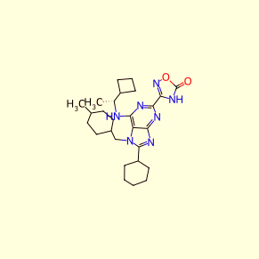 CC1CCC(Cn2c(C3CCCCC3)nc3nc(-c4noc(=O)[nH]4)nc(N[C@H](C)C4CCC4)c32)CC1